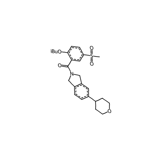 CC(C)COc1ccc(S(C)(=O)=O)cc1C(=O)N1Cc2ccc(C3CCOCC3)cc2C1